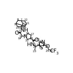 CC(C(=O)NC12CC3CC(CC(C3)C1)C2)N1CC[C@@H](C(=O)N[C@H](C)c2cnc(OCC(F)(F)F)s2)C1